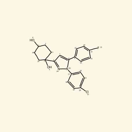 OC1CCC(O)(c2cc(-c3ccc(F)cc3)n(-c3ccc(Cl)cc3)n2)CC1